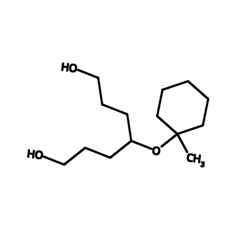 CC1(OC(CCCO)CCCO)CCCCC1